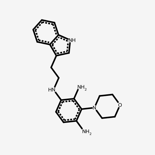 Nc1ccc(NCCc2c[nH]c3ccccc23)c(N)c1N1CCOCC1